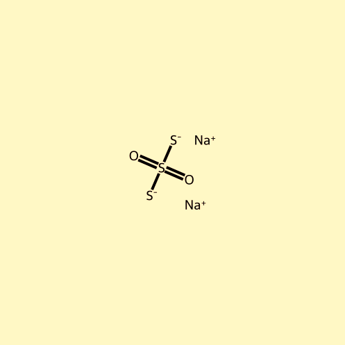 O=S(=O)([S-])[S-].[Na+].[Na+]